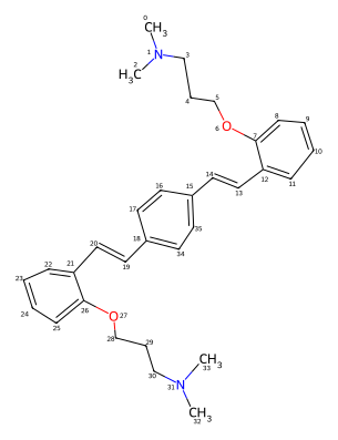 CN(C)CCCOc1ccccc1/C=C/c1ccc(/C=C/c2ccccc2OCCCN(C)C)cc1